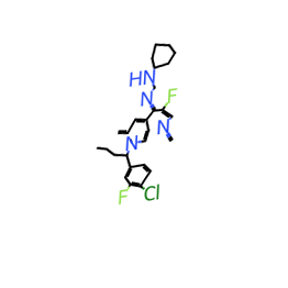 C=C/C=C(\C=C/N(C)C(CCC)c1ccc(Cl)c(F)c1)C(=NCNC1CCCCC1)/C(F)=C\N=C